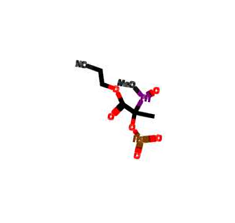 CO[PH](=O)C(C)(O[SH](=O)=O)C(=O)OCCC#N